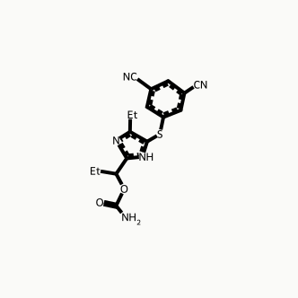 CCc1nc(C(CC)OC(N)=O)[nH]c1Sc1cc(C#N)cc(C#N)c1